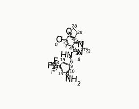 COc1cc2c(N[C@H](C)c3cc(N)cc(C(F)(F)F)c3)nc(C)nc2c2c1OCC2